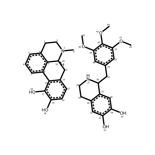 CN1CCc2cccc3c2[C@H]1Cc1ccc(O)c(O)c1-3.COc1cc(CC2NCCc3cc(O)c(O)cc32)cc(OC)c1OC